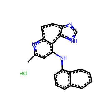 Cc1cc(Nc2cccc3ccccc23)c2c(ccc3nc[nH]c32)n1.Cl